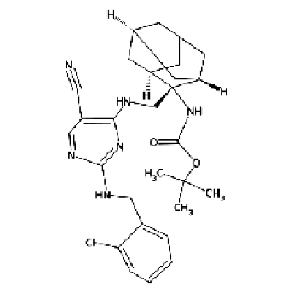 CC(C)(C)OC(=O)N[C@]1(CNc2nc(NCc3ccccc3Cl)ncc2C#N)[C@@H]2CC3C[C@H](C2)C[C@@H]1C3